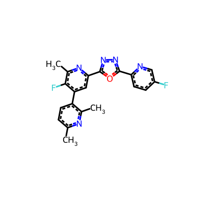 Cc1ccc(-c2cc(-c3nnc(-c4ccc(F)cn4)o3)nc(C)c2F)c(C)n1